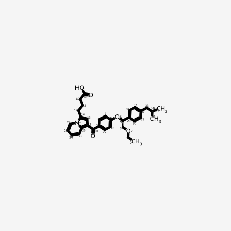 CCOC[C@@H](Oc1ccc(C(=O)c2cc(CCCC(=O)O)n3ccccc23)cc1)c1ccc(CC(C)C)cc1